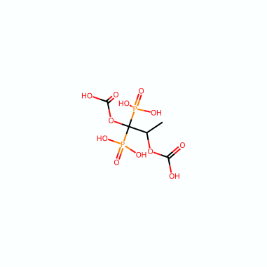 CC(OC(=O)O)C(OC(=O)O)(P(=O)(O)O)P(=O)(O)O